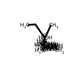 CCCCCCCC/C=C\CCCCCCCCCCCCCCCC(=O)N[C@@H](CO[C@@H]1OC(CO)[C@@H](O[C@@H]2OC(CO)[C@H](O)[C@H](O[C@@H]3OC(CO)[C@@H](O[C@@H]4OC(CO)[C@H](O)[C@H](O[C@H]5OC(CO)[C@H](O)[C@H](O[C@@H]6OC(CO)[C@H](O)[C@H](O)C6NC(C)=O)C5O)C4O)[C@H](O)C3NC(C)=O)C2O)[C@H](O)C1O)[C@H](O)/C=C/CCCCCCCCCCCCC